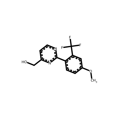 COc1ccc(-c2nccc(CO)n2)c(C(F)(F)F)c1